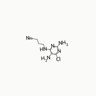 N#CCCCNc1nc(N)nc(Cl)c1N